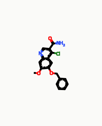 COc1cc2ncc(C(N)=O)c(Cl)c2cc1OCc1ccccc1